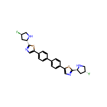 F[C@H]1CN[C@H](c2ncc(-c3ccc(-c4ccc(-c5cnc([C@@H]6C[C@@H](F)CN6)s5)cc4)cc3)s2)C1